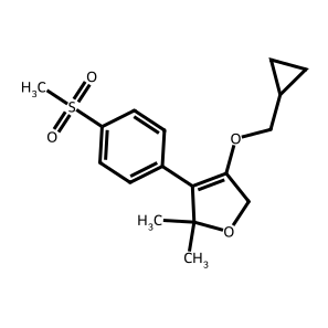 CC1(C)OCC(OCC2CC2)=C1c1ccc(S(C)(=O)=O)cc1